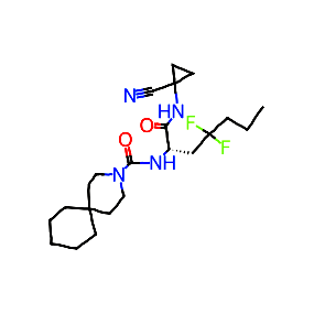 CCCC(F)(F)C[C@H](NC(=O)N1CCC2(CCCCC2)CC1)C(=O)NC1(C#N)CC1